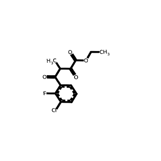 CCOC(=O)C(=O)C(C)C(=O)c1cccc(Cl)c1F